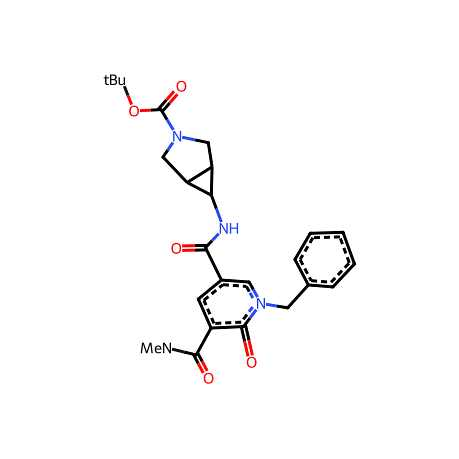 CNC(=O)c1cc(C(=O)NC2C3CN(C(=O)OC(C)(C)C)CC32)cn(Cc2ccccc2)c1=O